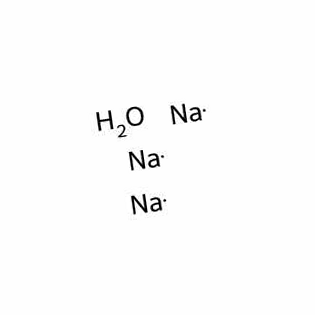 O.[Na].[Na].[Na]